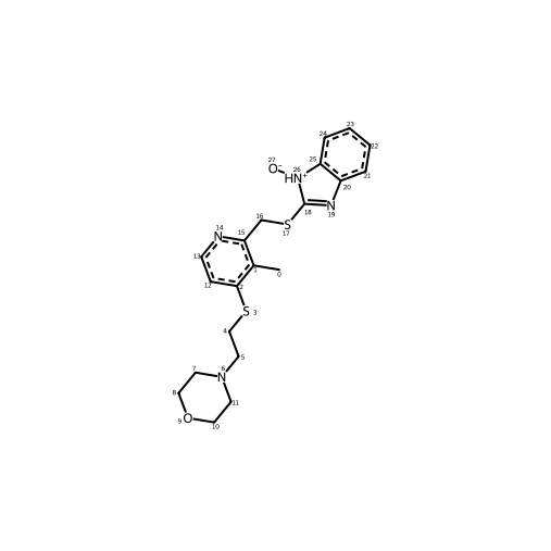 Cc1c(SCCN2CCOCC2)ccnc1CSC1=Nc2ccccc2[NH+]1[O-]